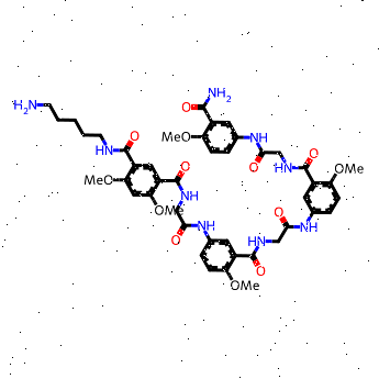 COc1ccc(NC(=O)CNC(=O)c2cc(NC(=O)CNC(=O)c3cc(NC(=O)CNC(=O)c4cc(C(=O)NCCCCCN)c(OC)cc4OC)ccc3OC)ccc2OC)cc1C(N)=O